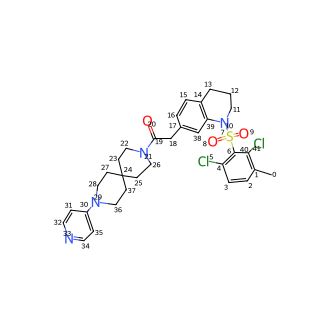 Cc1ccc(Cl)c(S(=O)(=O)N2CCCc3ccc(CC(=O)N4CCC5(CC4)CCN(c4ccncc4)CC5)cc32)c1Cl